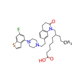 CCCC(CCCCCC(=O)O)CN1C(=O)CCc2ccc(CCN3CCN(c4cc(F)cc5sccc45)CC3)cc21